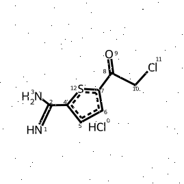 Cl.N=C(N)c1ccc(C(=O)CCl)s1